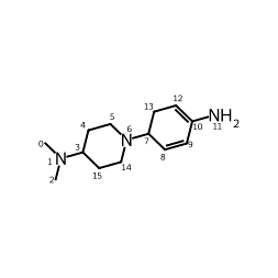 CN(C)C1CCN(C2C=CC(N)=CC2)CC1